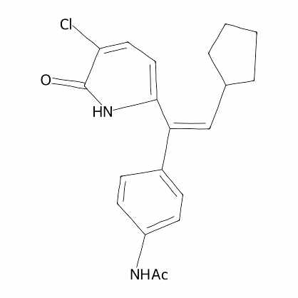 CC(=O)Nc1ccc(C(=CC2CCCC2)c2ccc(Cl)c(=O)[nH]2)cc1